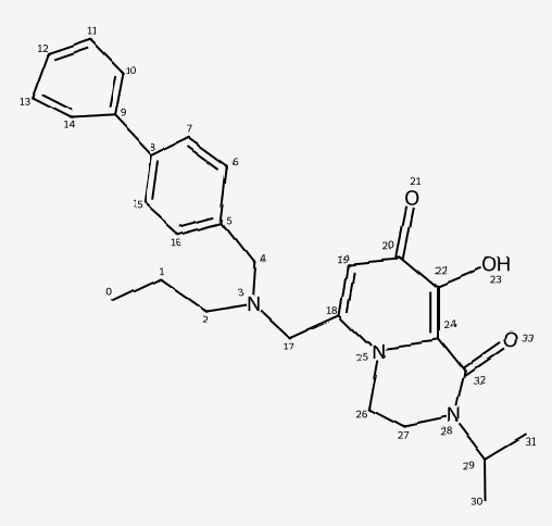 CCCN(Cc1ccc(-c2ccccc2)cc1)Cc1cc(=O)c(O)c2n1CCN(C(C)C)C2=O